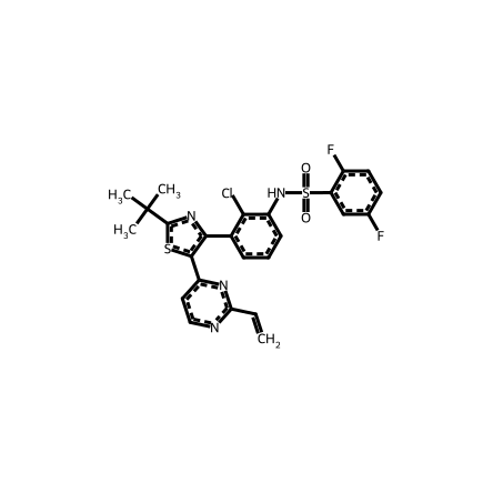 C=Cc1nccc(-c2sc(C(C)(C)C)nc2-c2cccc(NS(=O)(=O)c3cc(F)ccc3F)c2Cl)n1